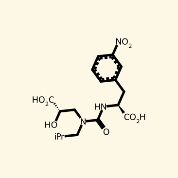 CC(C)CN(C[C@H](O)C(=O)O)C(=O)N[C@@H](Cc1cccc([N+](=O)[O-])c1)C(=O)O